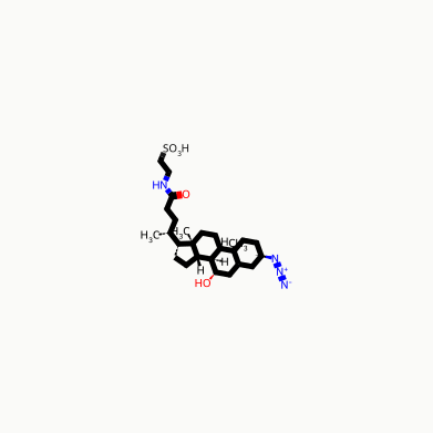 C[C@H](CCC(=O)NCCS(=O)(=O)O)[C@H]1CC[C@H]2[C@@H]3[C@@H](O)CC4C[C@H](N=[N+]=[N-])CC[C@]4(C)[C@H]3CC[C@]12C